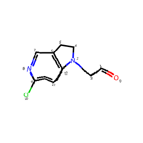 O=CCN1CCc2cnc(Cl)cc21